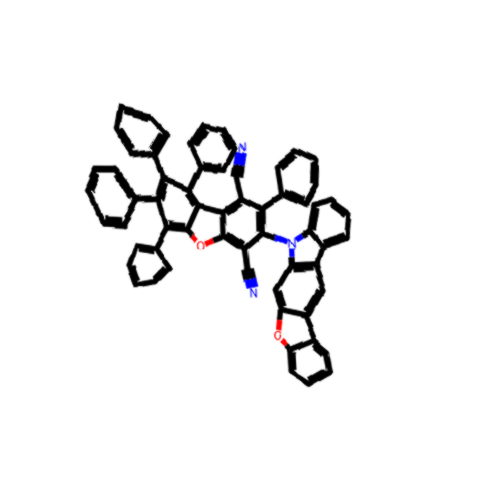 N#Cc1c(-n2c3ccccc3c3cc4c(cc32)oc2ccccc24)c(-c2ccccc2)c(C#N)c2c1oc1c(-c3ccccc3)c(-c3ccccc3)c(-c3ccccc3)c(-c3ccccc3)c12